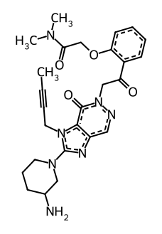 CC#CCn1c(N2CCCC(N)C2)nc2cnn(CC(=O)c3ccccc3OCC(=O)N(C)C)c(=O)c21